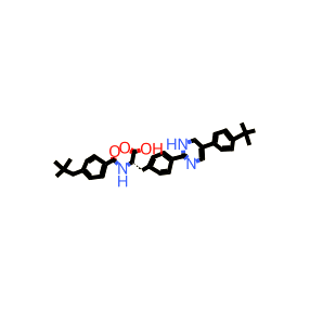 CC(C)(C)Cc1ccc(C(=O)N[C@@H](Cc2ccc(C3=NC=C(c4ccc(C(C)(C)C)cc4)CN3)cc2)C(=O)O)cc1